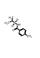 Cc1ccc(C(=O)NS(=O)(=O)C(C)C)cc1